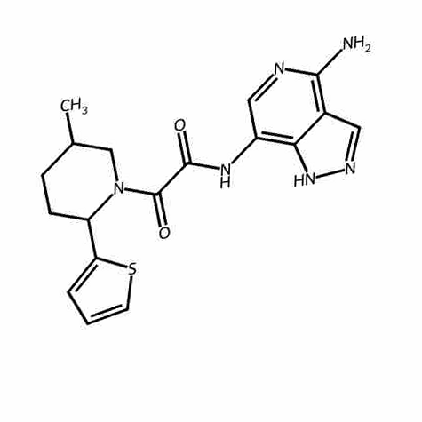 CC1CCC(c2cccs2)N(C(=O)C(=O)Nc2cnc(N)c3cn[nH]c23)C1